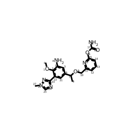 COc1c(N)cc(C(C)OCc2cccc(OC(N)=O)n2)cc1-c1ncn(C)n1